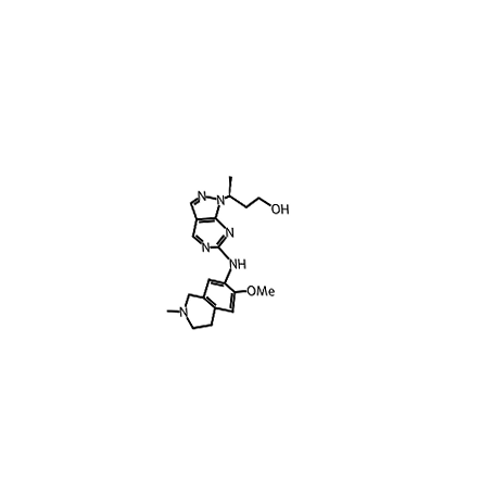 COc1cc2c(cc1Nc1ncc3cnn([C@@H](C)CCO)c3n1)CN(C)CC2